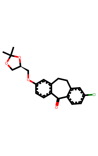 CC1(C)OC[C@H](COc2ccc3c(c2)CCc2cc(Cl)ccc2C3=O)O1